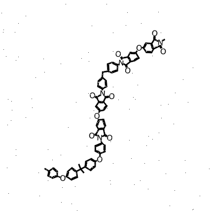 Cc1ccc(Oc2ccc(C(C)(C)c3ccc(Oc4ccc(N5C(=O)c6ccc(Oc7ccc8c(c7)C(=O)N(c7ccc(Cc9ccc(N%10C(=O)c%11ccc(Oc%12ccc%13c(c%12)C(=O)N(C)C%13=O)cc%11C%10=O)cc9)cc7)C8=O)cc6C5=O)cc4)cc3)cc2)cc1